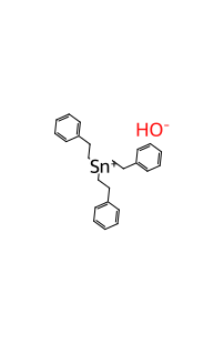 [OH-].c1ccc(C[CH2][Sn+]([CH2]Cc2ccccc2)[CH2]Cc2ccccc2)cc1